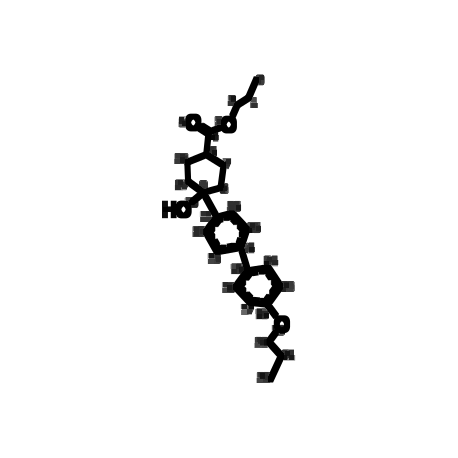 CCCOC(=O)C1CCC(O)(c2ccc(-c3ccc(OCCC)cc3)cc2)CC1